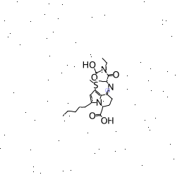 CCCCCc1cc(SC)c2n1C(C(=O)O)CC/C2=N/C(C)C(=O)N(CC)C(=O)O